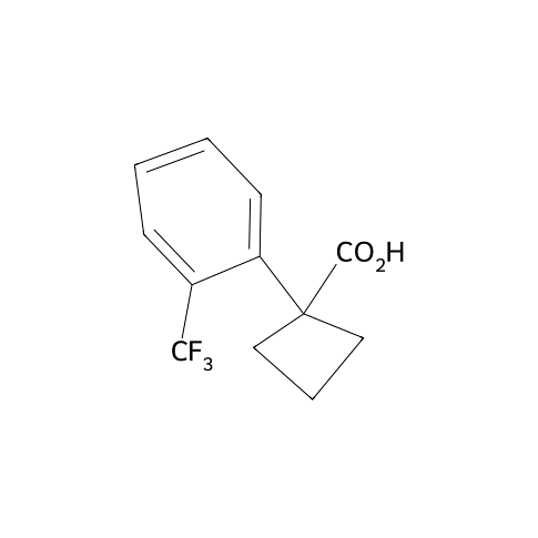 O=C(O)C1(c2ccccc2C(F)(F)F)CCC1